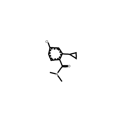 CN(C)C(=O)c1ccc(Cl)cc1C1CC1